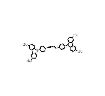 CC(C)(C)c1ccc2c(c1)c1cc(C(C)(C)C)ccc1n2-c1ccc(C#C/C=C/c2ccc(-n3c4ccc(C(C)(C)C)cc4c4cc(C(C)(C)C)ccc43)cc2)cc1